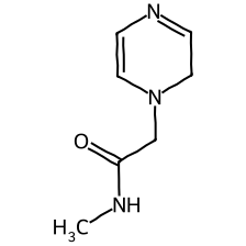 CNC(=O)CN1C=CN=CC1